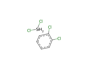 Cl[SiH2]Cl.Clc1ccccc1Cl